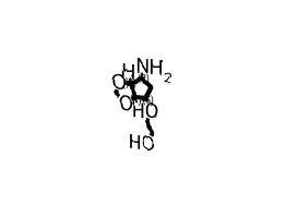 N[C@@H]1C[C@H](OCCO)[C@H]2OCO[C@H]21